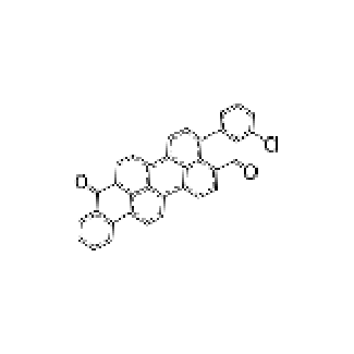 O=C1c2ccccc2-c2ccc3c4ccc5c6c(ccc(c7ccc1c2c37)c64)-c1cccc(Cl)c1C5=O